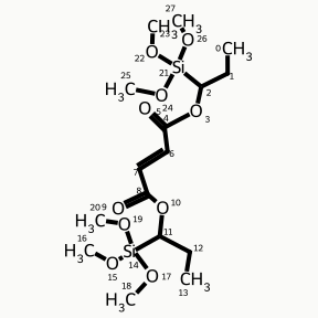 CCC(OC(=O)C=CC(=O)OC(CC)[Si](OC)(OC)OC)[Si](OC)(OC)OC